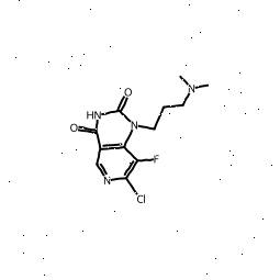 CN(C)CCCn1c(=O)[nH]c(=O)c2cnc(Cl)c(F)c21